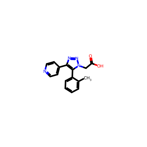 Cc1ccccc1-c1c(-c2ccncc2)nnn1CC(=O)O